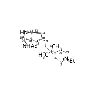 CCN1CCC(C(C)(C)CCc2ccc3[nH]cc(NC(C)=O)c3c2)CC1